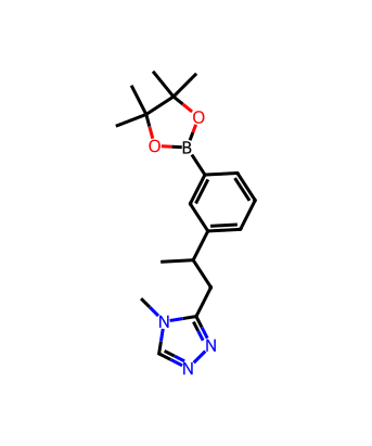 CC(Cc1nncn1C)c1cccc(B2OC(C)(C)C(C)(C)O2)c1